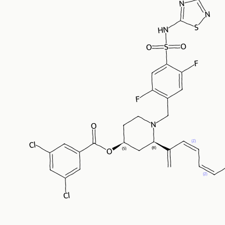 C=C(/C=C\C=C/C)[C@H]1C[C@@H](OC(=O)c2cc(Cl)cc(Cl)c2)CCN1Cc1cc(F)c(S(=O)(=O)Nc2ncns2)cc1F